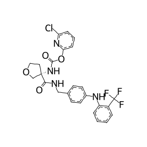 O=C(N[C@@]1(C(=O)NCc2ccc(Nc3ccccc3C(F)(F)F)cc2)CCOC1)Oc1cccc(Cl)n1